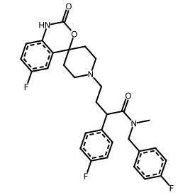 CN(Cc1ccc(F)cc1)C(=O)C(CCN1CCC2(CC1)OC(=O)Nc1ccc(F)cc12)c1ccc(F)cc1